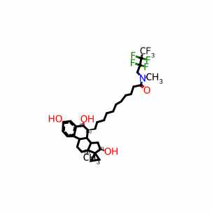 CN(CC(F)(F)C(F)(F)C(F)(F)F)C(=O)CCCCCCCCCC[C@H]1C2C(CC[C@@]3(C)C2C[C@@H](O)C32CC2)c2ccc(O)cc2[C@H]1O